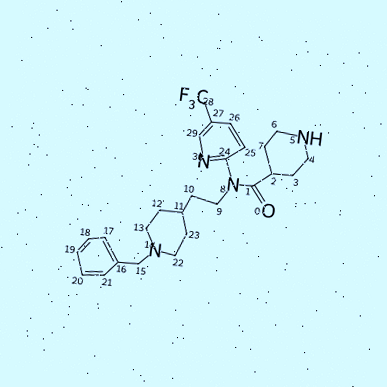 O=C(C1CCNCC1)N(CCC1CCN(Cc2ccccc2)CC1)c1ccc(C(F)(F)F)cn1